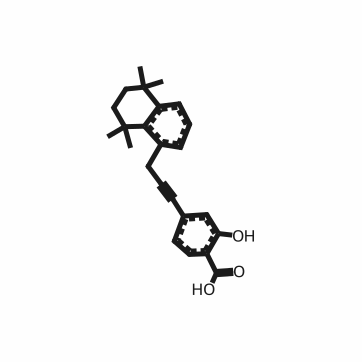 CC1(C)CCC(C)(C)c2c(CC#Cc3ccc(C(=O)O)c(O)c3)cccc21